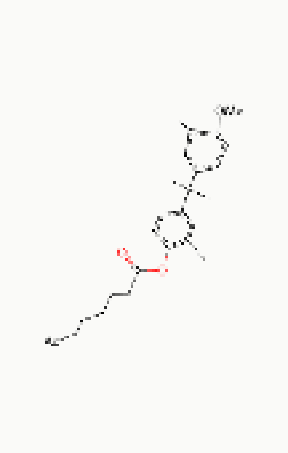 COc1ccc(C(C)(C)c2ccc(OC(=O)CCCCCC(C)=O)c(C)c2)cc1C